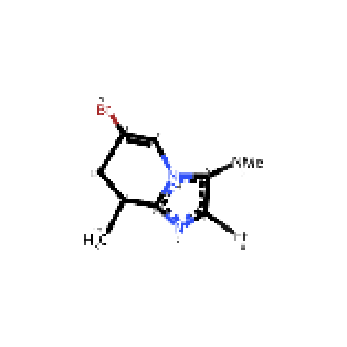 CCc1nc2n(c1NC)C=C(Br)CC2C